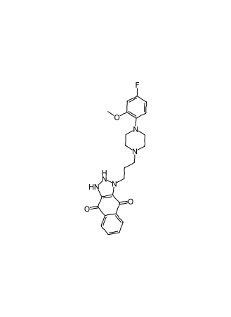 COc1cc(F)ccc1N1CCN(CCCn2[nH][nH]c3c(=O)c4ccccc4c(=O)c2=3)CC1